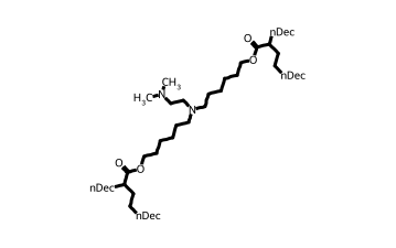 CCCCCCCCCCCCC(CCCCCCCCCC)C(=O)OCCCCCCN(CCCCCCOC(=O)C(CCCCCCCCCC)CCCCCCCCCCCC)CCN(C)C